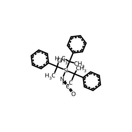 CC(C)(c1ccccc1)[Si](N=C=O)(C(C)(C)c1ccccc1)C(C)(C)c1ccccc1